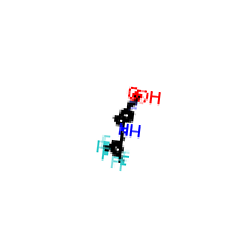 O=C(O)/C=C/c1ccc2c(c1)CCC2NCCc1cc(C(F)(F)F)cc(C(F)(F)F)c1